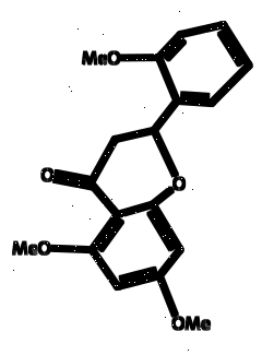 COc1cc(OC)c2c(c1)OC(c1ccccc1OC)CC2=O